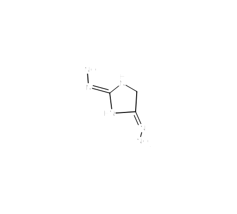 O=[N+]([O-])N=C1CNC(=N[N+](=O)[O-])N1